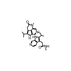 CNC(=O)Cc1c(C(C)C[n+]2cc3c4c(c(C(C)C)[nH]c4c2)CC(=O)N3C)[nH]c2cnccc12